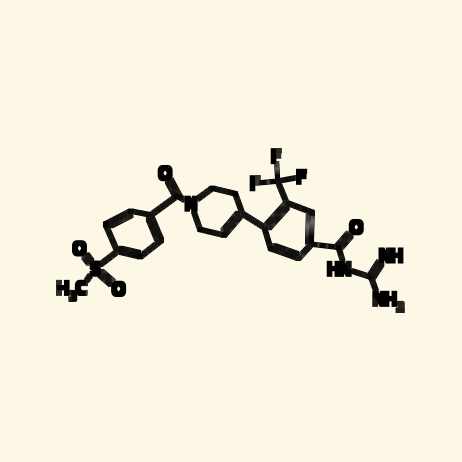 CS(=O)(=O)c1ccc(C(=O)N2CC=C(c3ccc(C(=O)NC(=N)N)cc3C(F)(F)F)CC2)cc1